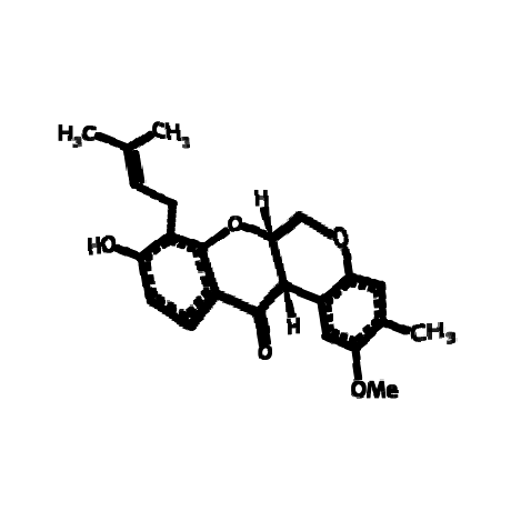 COc1cc2c(cc1C)OC[C@H]1Oc3c(ccc(O)c3CC=C(C)C)C(=O)[C@@H]21